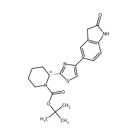 CC(C)(C)OC(=O)N1CCCC[C@@H]1c1nc(-c2ccc3c(c2)CC(=O)N3)cs1